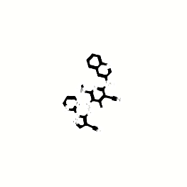 CNc1nc(Nc2cnc3ccccc3c2)c(C#N)c(C)c1/N=N/c1c(C#N)cnn1-c1ncccn1